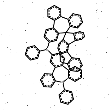 c1ccc(N(c2ccc3c(c2)-c2ccccc2N(c2ccccc2)c2ccccc2-3)c2ccc3c(c2)C2(c4ccccc4-c4ccccc4-3)c3ccccc3-c3c2ccc2c3-c3ccccc3C2)cc1